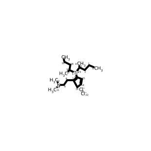 CCC[CH](C)[Ti+2]([C]1=C(CCN(C)C)CC=C1)[CH](C)CCC.[Cl-].[Cl-]